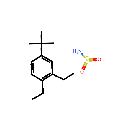 CCc1ccc(C(C)(C)C)cc1CC.N[SH](=O)=O